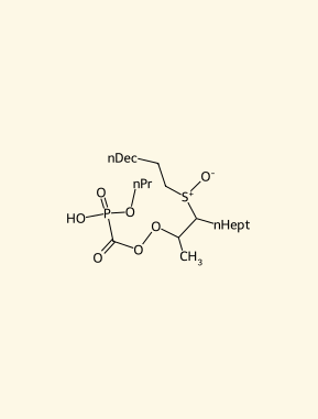 CCCCCCCCCCCC[S+]([O-])C(CCCCCCC)C(C)OOC(=O)P(=O)(O)OCCC